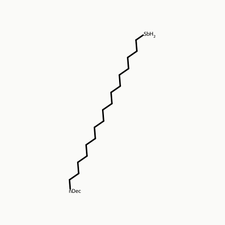 CCCCCCCCCCCCCCCCCCCCCCCCCC[CH2][SbH2]